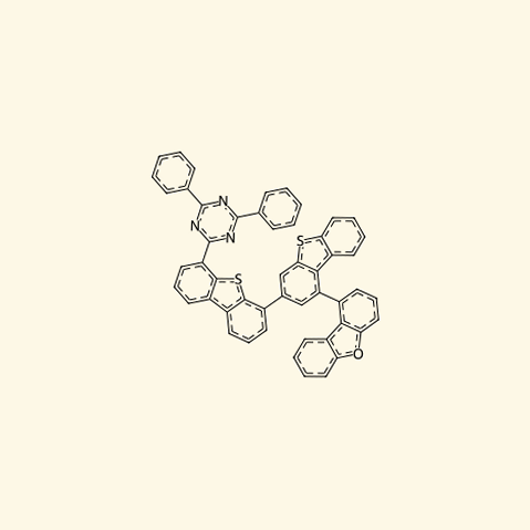 c1ccc(-c2nc(-c3ccccc3)nc(-c3cccc4c3sc3c(-c5cc(-c6cccc7oc8ccccc8c67)c6c(c5)sc5ccccc56)cccc34)n2)cc1